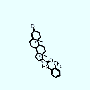 C[C@]12CCC(=O)C=C1CCC1C2CC[C@@]2(C)C1CC[C@@H]2C(=O)Nc1ccccc1C(F)(F)F